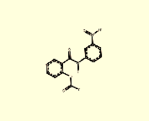 CC(=O)Oc1ccccc1C(=O)N(Cl)c1cccc([N+](=O)[O-])c1